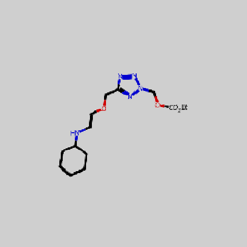 CCOC(=O)OCn1nnc(COCCNC2CCCCC2)n1